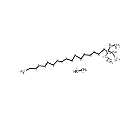 CCCCCCCCCCCCCCCCCC[Si](OC)(OC)OC.CO